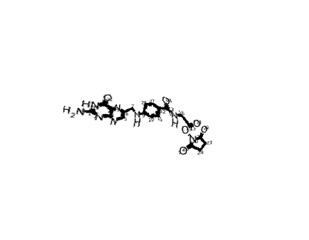 Nc1nc2ncc(CNc3ccc(C(=O)NCC(=O)ON4C(=O)CCC4=O)cc3)nc2c(=O)[nH]1